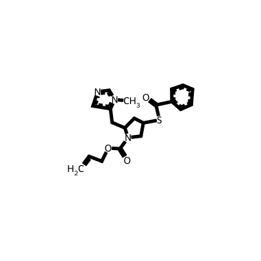 C=CCOC(=O)N1CC(SC(=O)c2ccccc2)CC1Cc1cncn1C